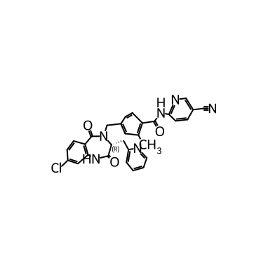 Cc1cc(CN2C(=O)c3ccc(Cl)cc3NC(=O)[C@H]2Cc2ccccn2)ccc1C(=O)Nc1ccc(C#N)cn1